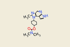 Cc1nc2cnc3[nH]ccc3c2n1C1CCC(OC(=O)N(C)C)CC1